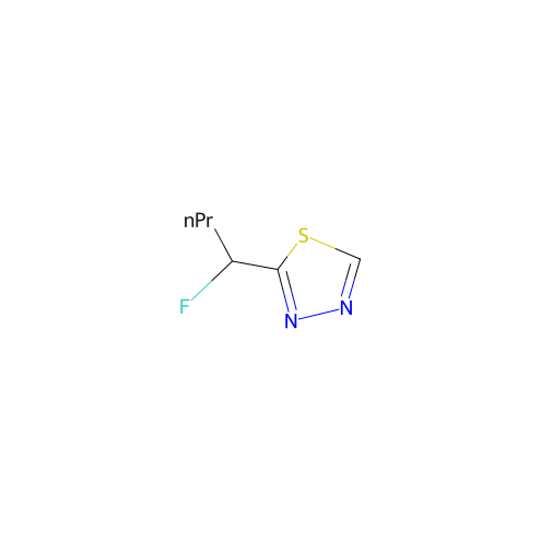 CCCC(F)c1nncs1